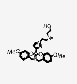 COc1ccc(CN(Cc2ccc(OC)cc2)S(=O)(=O)c2ccn(CCN(C)CCO)n2)cc1